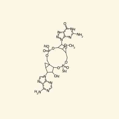 COC1C2COP(=O)(S)OC3C(O)C(n4cnc5c(N)ncnc54)C4CC43COP(=O)(O)OC1C(n1nnc3c(=O)[nH]c(N)nc31)O2